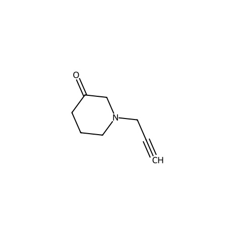 C#CCN1CCCC(=O)C1